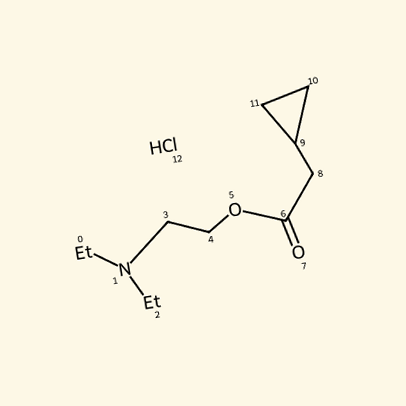 CCN(CC)CCOC(=O)CC1CC1.Cl